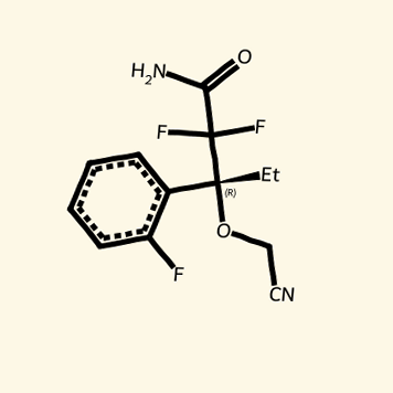 CC[C@@](OCC#N)(c1ccccc1F)C(F)(F)C(N)=O